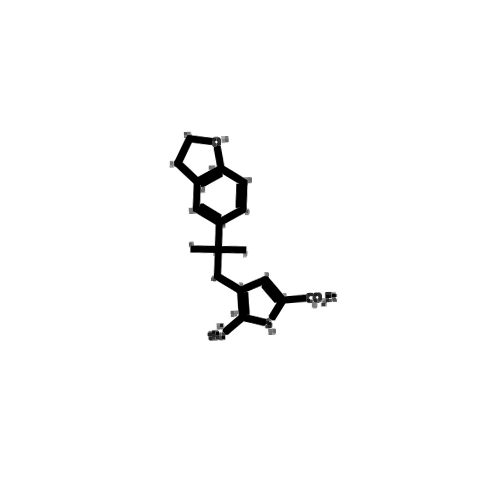 CCOC(=O)c1cc(CC(C)(C)c2ccc3c(c2)CCO3)c(C(C)(C)C)s1